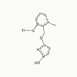 CCOc1cccc(I)c1COc1ccn(O)n1